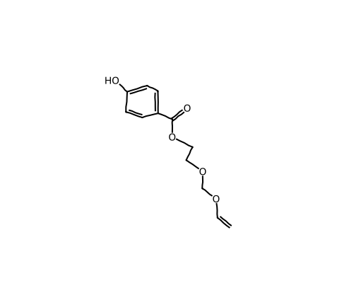 C=COCOCCOC(=O)c1ccc(O)cc1